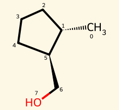 C[C@H]1CCC[C@@H]1CO